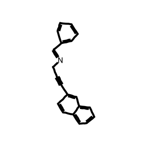 C(#Cc1ccc2ccccc2c1)CN=Cc1ccccc1